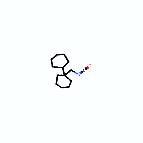 O=C=NCC1(C2CCCCC2)CCCCC1